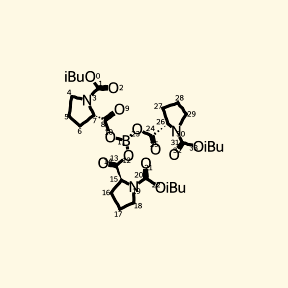 CC(C)COC(=O)N1CCC[C@H]1C(=O)OB(OC(=O)[C@@H]1CCCN1C(=O)OCC(C)C)OC(=O)[C@@H]1CCCN1C(=O)OCC(C)C